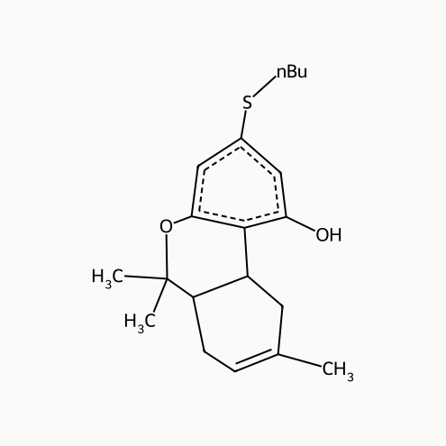 CCCCSc1cc(O)c2c(c1)OC(C)(C)C1CC=C(C)CC21